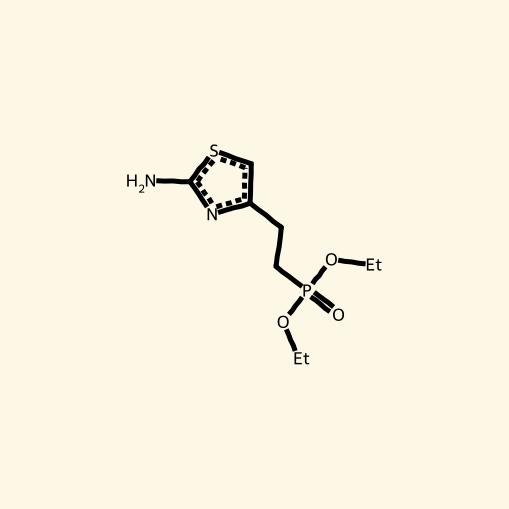 CCOP(=O)(CCc1csc(N)n1)OCC